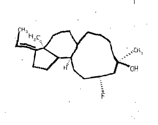 C/C=C1/CCC2[C@@H]3CC[C@@H](F)C[C@](C)(O)CCCC3CC[C@]12C